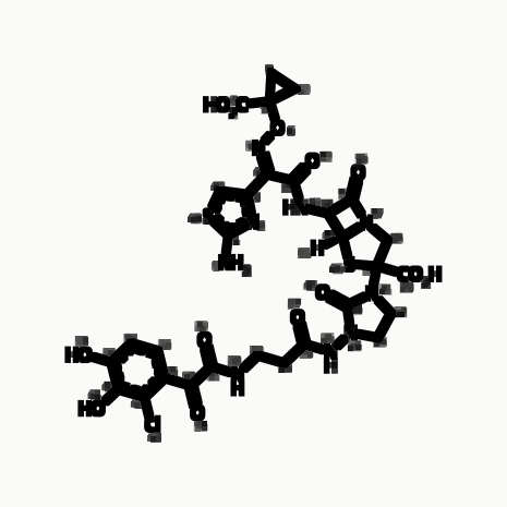 Nc1nc(/C(=N/OC2(C(=O)O)CC2)C(=O)NC2C(=O)N3CC(C(=O)O)(N4CCN(NC(=O)CCNC(=O)C(=O)c5ccc(O)c(O)c5Cl)C4=O)S[C@H]23)cs1